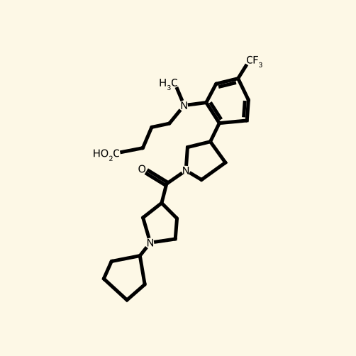 CN(CCCC(=O)O)c1cc(C(F)(F)F)ccc1C1CCN(C(=O)C2CCN(C3CCCC3)C2)C1